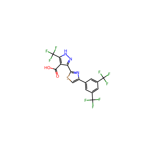 O=C(O)c1c(-c2nc(-c3cc(C(F)(F)F)cc(C(F)(F)F)c3)cs2)n[nH]c1C(F)(F)F